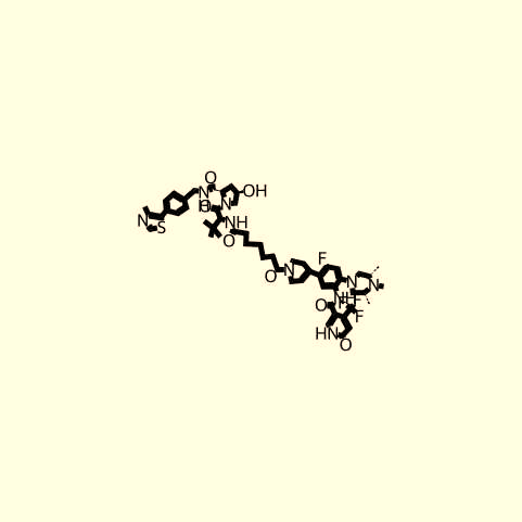 Cc1ncsc1-c1ccc(CNC(=O)[C@@H]2C[C@@H](O)CN2C(=O)C(NC(=O)CCCCCC(=O)N2CC=C(c3cc(NC(=O)c4c[nH]c(=O)cc4C(F)(F)F)c(N4C[C@@H](C)N(C)[C@@H](C)C4)cc3F)CC2)C(C)(C)C)cc1